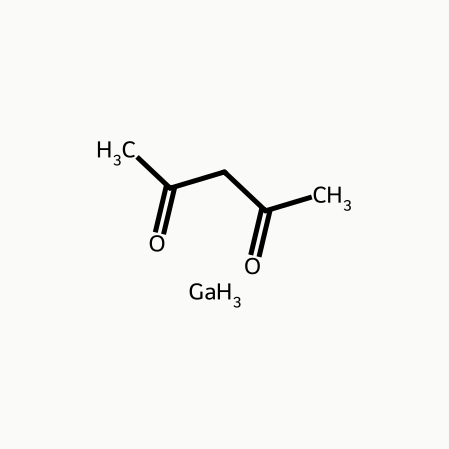 CC(=O)CC(C)=O.[GaH3]